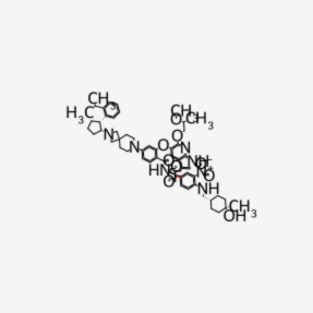 COC(C)COc1nc2[nH]cc(F)c2cc1Oc1cc(N2CCC3(CC2)CN([C@@H]2CCC[C@@H]2c2ccccc2C(C)C)C3)ccc1C(=O)NS(=O)(=O)c1ccc(NC[C@H]2CC[C@](C)(O)CC2)c([N+](=O)[O-])c1